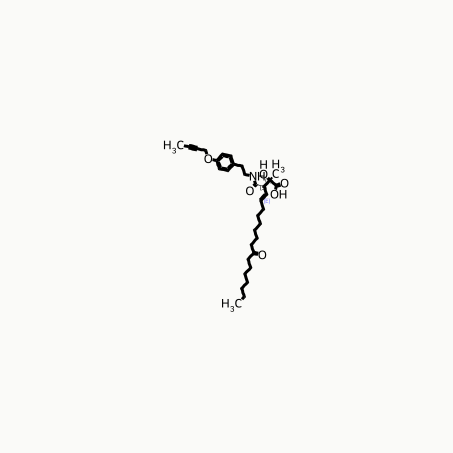 CC#CCOc1ccc(CCNC(=O)[C@@H](/C=C/CCCCCCC(=O)CCCCCCC)[C@](C)(O)C(=O)O)cc1